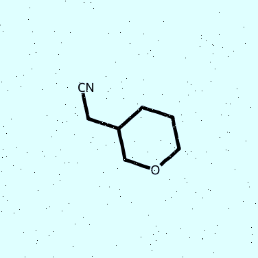 N#CCC1CCCOC1